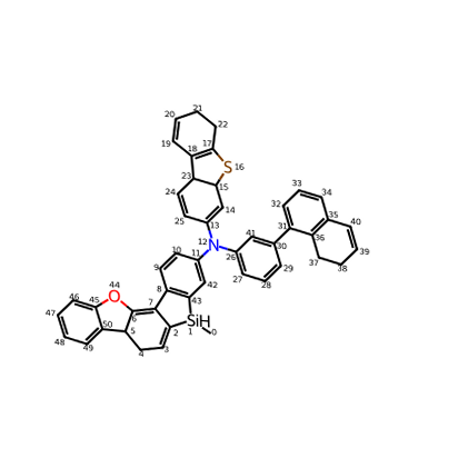 C[SiH]1C2=CCC3C(=C2c2ccc(N(C4=CC5SC6=C(C=CCC6)C5C=C4)c4cccc(-c5cccc6c5CCC=C6)c4)cc21)Oc1ccccc13